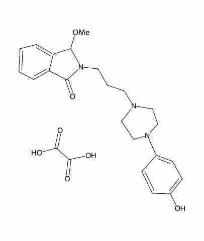 COC1c2ccccc2C(=O)N1CCCN1CCN(c2ccc(O)cc2)CC1.O=C(O)C(=O)O